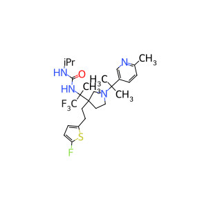 Cc1ccc(C(C)(C)N2CCC(CCc3ccc(F)s3)(C(C)(NC(=O)NC(C)C)C(F)(F)F)C2)cn1